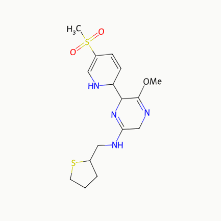 COC1=NCC(NCC2CCCS2)=NC1C1C=CC(S(C)(=O)=O)=CN1